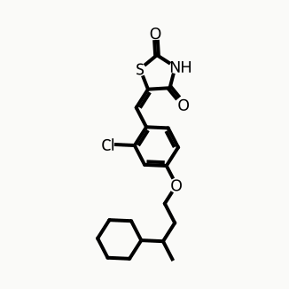 CC(CCOc1ccc(C=C2SC(=O)NC2=O)c(Cl)c1)C1CCCCC1